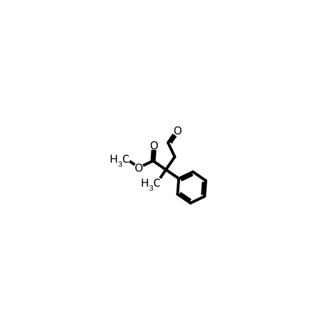 COC(=O)C(C)(CC=O)c1ccccc1